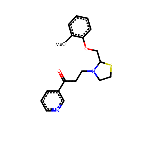 COc1ccccc1OCC1SCCN1CCC(=O)c1cccnc1